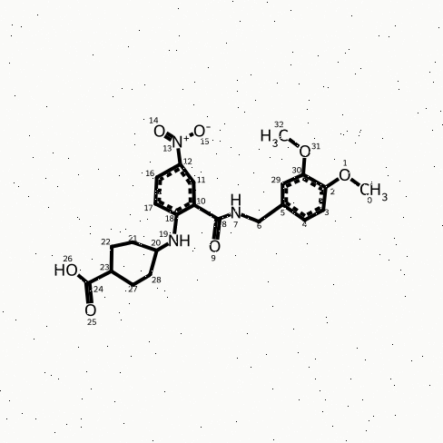 COc1ccc(CNC(=O)c2cc([N+](=O)[O-])ccc2NC2CCC(C(=O)O)CC2)cc1OC